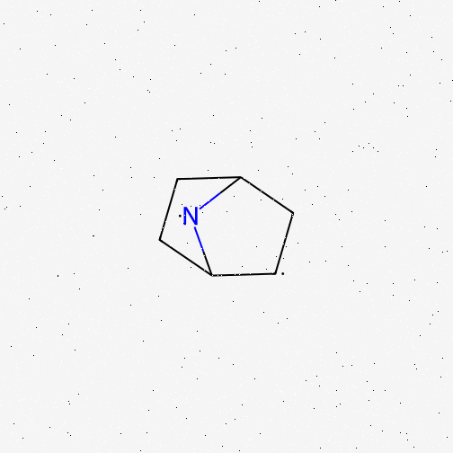 [CH]1CC2CCC1[N]2